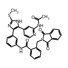 CSc1nc(-c2cccc(NC(=O)c3ccccc3CN3C(=O)c4ccccc4C3=O)c2)c(-c2ccnc(NC(C)=O)c2)[nH]1